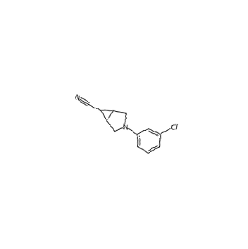 N#CC1C2CN(c3cccc(Cl)c3)CC12